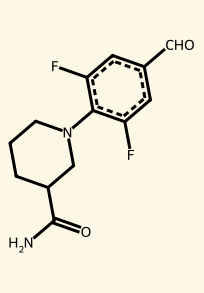 NC(=O)C1CCCN(c2c(F)cc(C=O)cc2F)C1